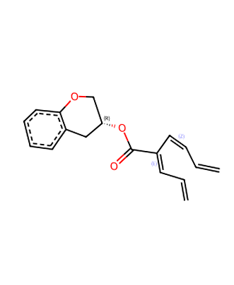 C=C/C=C\C(=C/C=C)C(=O)O[C@H]1COc2ccccc2C1